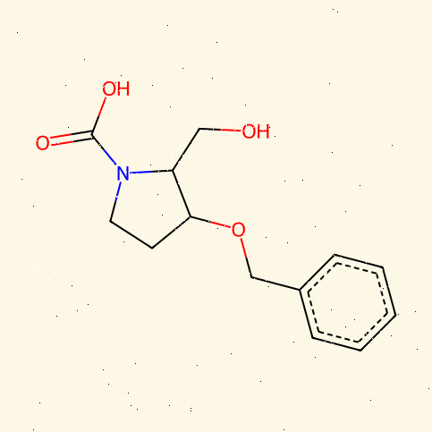 O=C(O)N1CCC(OCc2ccccc2)C1CO